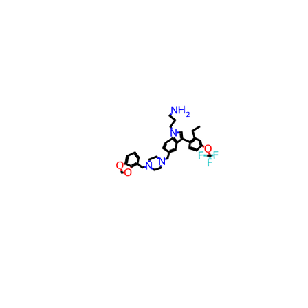 CCc1cc(OC(F)(F)F)ccc1-c1cn(CCCN)c2ccc(CN3CCN(Cc4cccc5c4OCO5)CC3)cc12